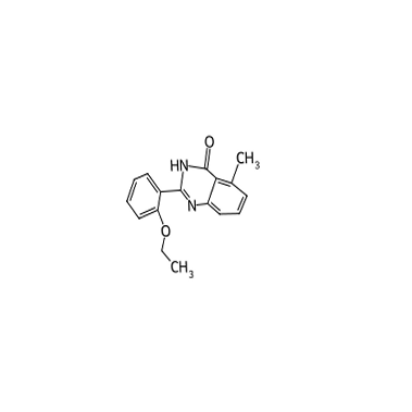 CCOc1ccccc1-c1nc2cccc(C)c2c(=O)[nH]1